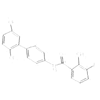 Cc1c(F)cccc1C(=O)Nc1ccc(-c2cc(C(F)(F)F)ccc2C(F)(F)F)cc1